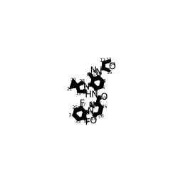 O=C(Nc1ccc2c(cnn2[C@H]2CCOC2)c1N1CCC2(CC2)C1)c1ccc(=O)n(-c2c(F)cccc2F)n1